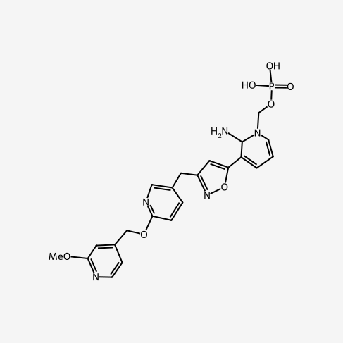 COc1cc(COc2ccc(Cc3cc(C4=CC=CN(COP(=O)(O)O)C4N)on3)cn2)ccn1